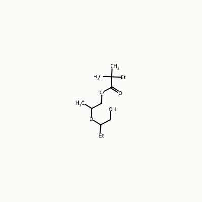 CCC(CO)OC(C)COC(=O)C(C)(C)CC